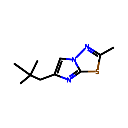 Cc1nn2cc(CC(C)(C)C)nc2s1